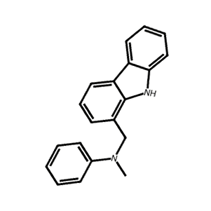 CN(Cc1cccc2c1[nH]c1ccccc12)c1ccccc1